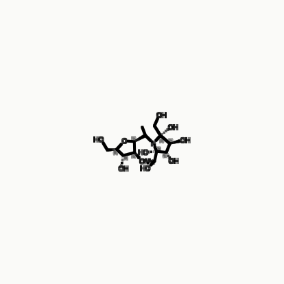 CO[C@H]1[C@H](O)[C@@H](CO)O[C@H]1C(C)N1[C@@](O)(CO)[C@@H](O)[C@H](O)[C@@]1(O)CO